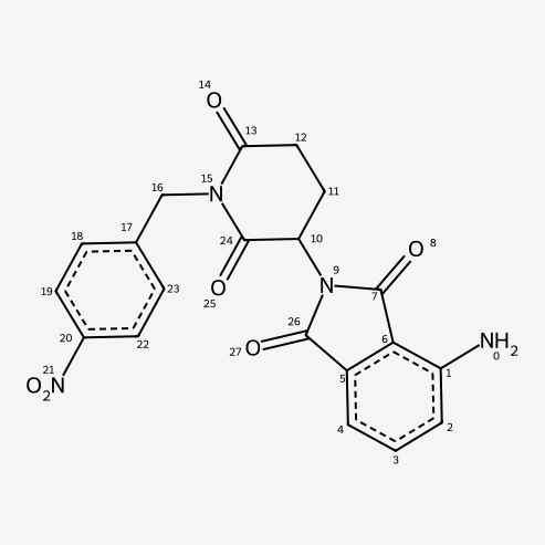 Nc1cccc2c1C(=O)N(C1CCC(=O)N(Cc3ccc([N+](=O)[O-])cc3)C1=O)C2=O